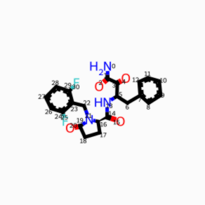 NC(=O)C(=O)C(Cc1ccccc1)NC(=O)[C@H]1CCC(=O)N1Cc1c(F)cccc1F